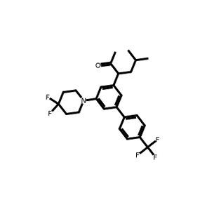 CC(=O)C(CC(C)C)c1cc(-c2ccc(C(F)(F)F)cc2)cc(N2CCC(F)(F)CC2)c1